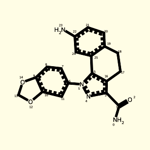 NC(=O)c1nn(-c2ccc3c(c2)OCO3)c2c1CCc1ccc(N)cc1-2